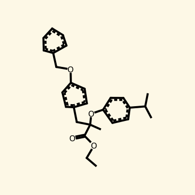 CCOC(=O)C(C)(Cc1ccc(OCc2ccccc2)cc1)Oc1ccc(C(C)C)cc1